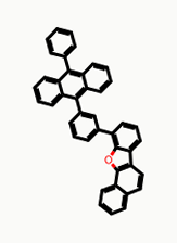 c1ccc(-c2c3ccccc3c(-c3cccc(-c4cccc5c4oc4c6ccccc6ccc54)c3)c3ccccc23)cc1